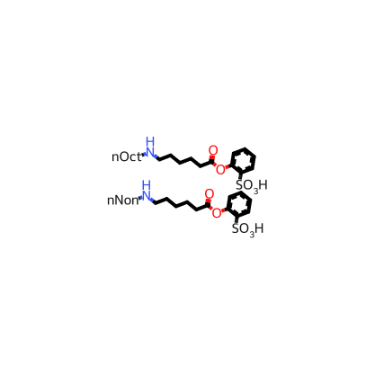 CCCCCCCCCNCCCCCC(=O)Oc1ccccc1S(=O)(=O)O.CCCCCCCCNCCCCCC(=O)Oc1ccccc1S(=O)(=O)O